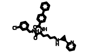 O=C(NC(CCCCN[C@@H]1C[C@H]1c1ccccn1)C(=O)NCc1cccc(Cl)c1)c1ccc(-c2ccccc2)cc1